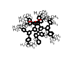 CC(C)(C)c1ccc(-c2cc(-c3ccc(C(C)(C)C)cc3)cc(-c3cc(-c4cc(-c5ccc(C(C)(C)C)cc5)cc(-c5ccc(C(C)(C)C)cc5)c4)cc(C4(c5cc(-c6cc(-c7ccc(C(C)(C)C)cc7)cc(-c7ccc(C(C)(C)C)cc7)c6)cc(-c6cc(-c7ccc(C(C)(C)C)cc7)cc(-c7ccc(C(C)(C)C)cc7)c6)c5)c5cc6c(cc5-c5c4ccc4oc7ccccc7c54)OCO6)c3)c2)cc1